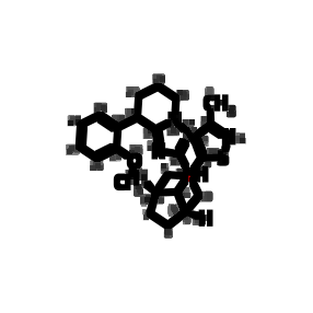 Cc1cc(N2C[C@H]3CC[C@@H](C2)C3Nc2nc3n(n2)CCCC3c2ccccc2OC(F)(F)F)sn1